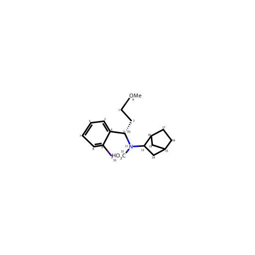 COCC[C@@H](c1ccccc1I)N(C(=O)O)C1CC2CCC1C2